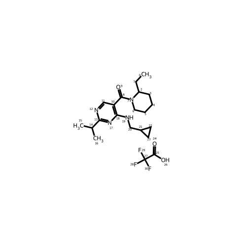 CCC1CCCCN1C(=O)c1cnc(C(C)C)nc1NCC1CC1.O=C(O)C(F)(F)F